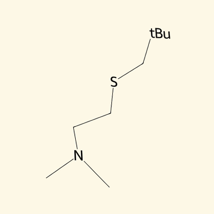 CN(C)CCSCC(C)(C)C